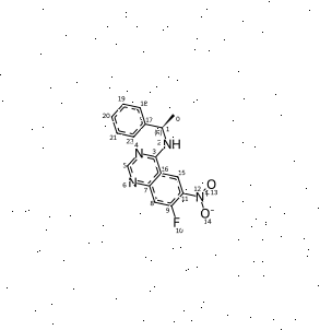 C[C@@H](Nc1ncnc2cc(F)c([N+](=O)[O-])cc12)c1ccccc1